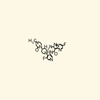 CN1CCN(C2CCN(c3c(F)cncc3NC(=O)c3c(N)nn4cc(F)cnc34)CC2)C(=O)C1